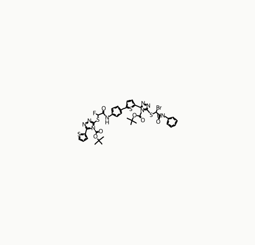 CC(C)(C)OC(=O)n1c(SC(F)C(=O)Nc2ccc(-c3ccc(-c4nnc(SC(Br)C(=O)Nc5ccccc5)n4C(=O)OC(C)(C)C)s3)cc2)nnc1-c1cccs1